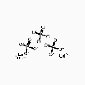 O=P([O-])([O-])[O-].O=P([O-])([O-])[O-].O=P([O-])([O-])[O-].[Gd+3].[La+3].[Tm+3]